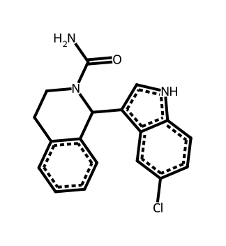 NC(=O)N1CCc2ccccc2C1c1c[nH]c2ccc(Cl)cc12